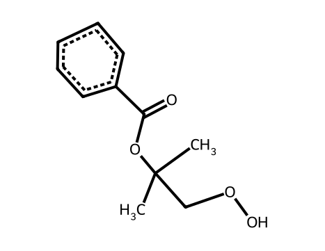 CC(C)(COO)OC(=O)c1ccccc1